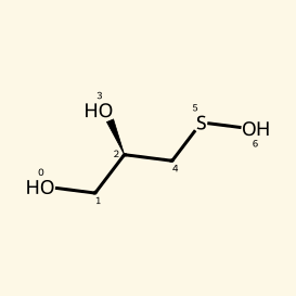 OC[C@@H](O)CSO